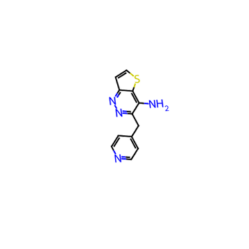 Nc1c(Cc2ccncc2)nnc2ccsc12